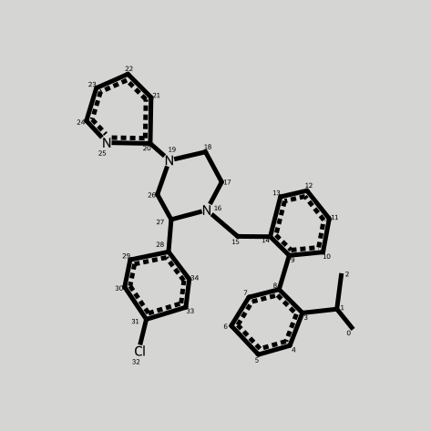 CC(C)c1ccccc1-c1ccccc1CN1CCN(c2ccccn2)CC1c1ccc(Cl)cc1